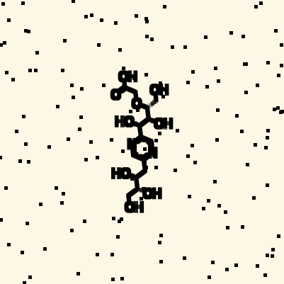 O=C(O)CO[C@H](CO)[C@@H](O)[C@H](O)c1cnc(C[C@H](O)[C@H](O)CO)cn1